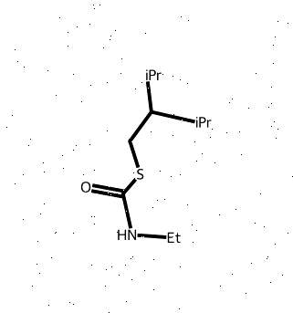 CCNC(=O)SCC(C(C)C)C(C)C